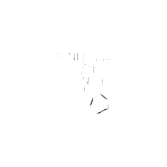 CC[C@H]1[C@H](O)[C@@H](NC(C)=O)CN1Cc1ccccc1